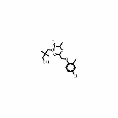 Cc1cc(Cl)ccc1OCC(=O)OC(C)[PH](=O)OCC(C)(C)CO